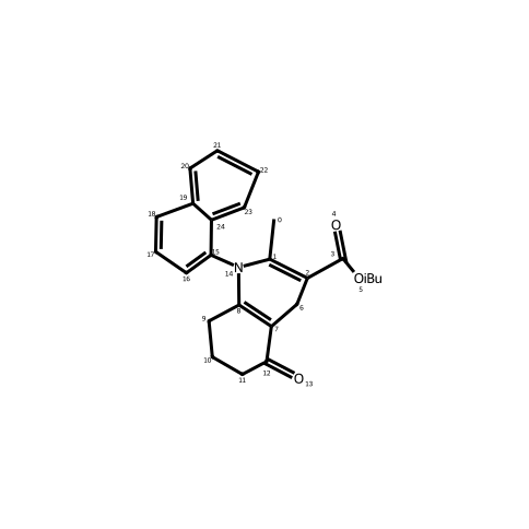 CC1=C(C(=O)OCC(C)C)CC2=C(CCCC2=O)N1c1cccc2ccccc12